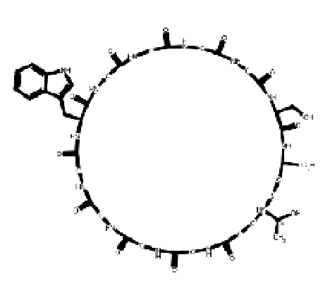 C[C@H](O)[SH]1CCC(=O)NCC(=O)NCC(=O)NCC(=O)NCC(=O)NC(Cc2c[nH]c3ccccc23)C(=O)NCC(=O)NCC(=O)NCC(=O)NCC(=O)NC(CO)C(=O)NC(C(=O)O)CS1